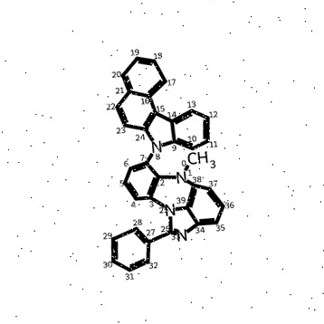 CN1c2c(cccc2-n2c3ccccc3c3c4ccccc4ccc32)-n2c(-c3ccccc3)nc3cccc1c32